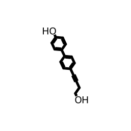 OCCC#Cc1ccc(-c2ccc(O)cc2)cc1